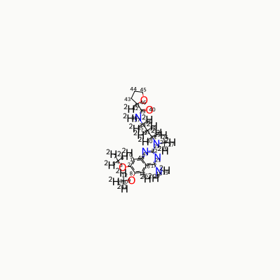 [2H]c1c(OC([2H])([2H])[2H])c(OC([2H])([2H])[2H])c([2H])c2c(N([2H])[2H])nc(N(C([2H])([2H])[2H])C([2H])([2H])C([2H])([2H])C([2H])([2H])N([2H])C(=O)C3([2H])CCCO3)nc12